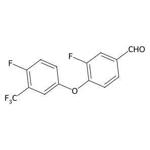 O=Cc1ccc(Oc2ccc(F)c(C(F)(F)F)c2)c(F)c1